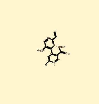 C=Cc1ncc(OC)c(-c2cc(C)ncc2C(=O)OC)n1